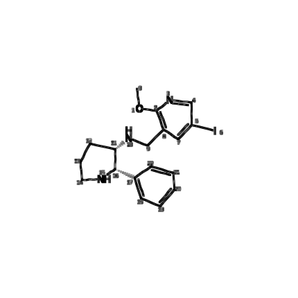 COc1ncc(I)cc1CN[C@H]1CCCN[C@H]1c1ccccc1